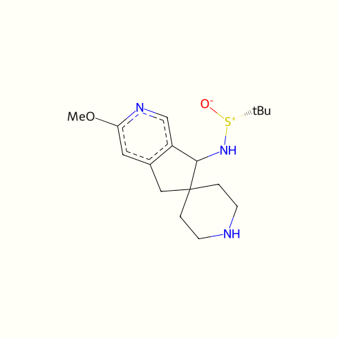 COc1cc2c(cn1)C(N[S@+]([O-])C(C)(C)C)C1(CCNCC1)C2